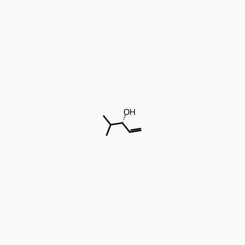 C=C[C@@H](O)C(C)C